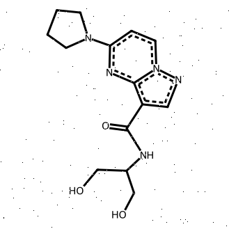 O=C(NC(CO)CO)c1cnn2ccc(N3CCCC3)nc12